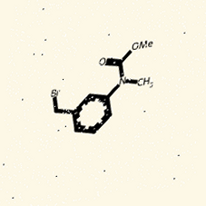 COC(=O)N(C)c1cccc(CBr)c1